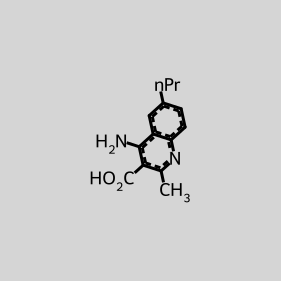 CCCc1ccc2nc(C)c(C(=O)O)c(N)c2c1